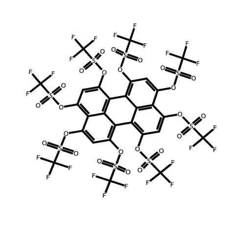 O=S(=O)(Oc1cc(OS(=O)(=O)C(F)(F)F)c2c3c(OS(=O)(=O)C(F)(F)F)cc(OS(=O)(=O)C(F)(F)F)c4c(OS(=O)(=O)C(F)(F)F)cc(OS(=O)(=O)C(F)(F)F)c(c5c(OS(=O)(=O)C(F)(F)F)cc(OS(=O)(=O)C(F)(F)F)c1c25)c43)C(F)(F)F